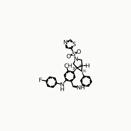 Cc1cc(Nc2ccc(F)cc2)c(C=N)cc1[C@@]12CN(S(=O)(=O)c3cncs3)C[C@@H]1[C@H]2c1ccccc1